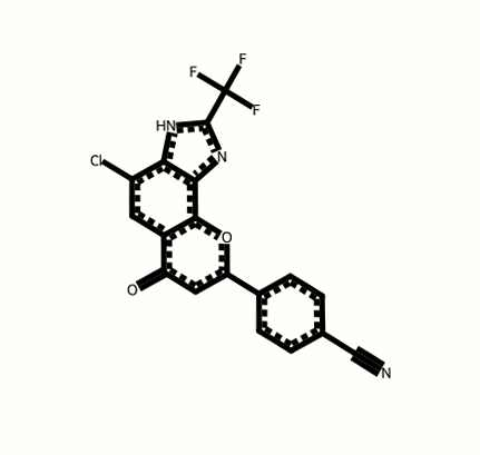 N#Cc1ccc(-c2cc(=O)c3cc(Cl)c4[nH]c(C(F)(F)F)nc4c3o2)cc1